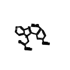 COC(=O)Cn1c(-c2cc(OC)ccc2OC)nc2ccccc21